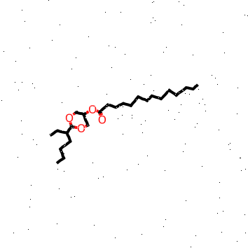 CCCCCCCCCCCCCC(=O)OC1COC(C(CC)CCCC)OC1